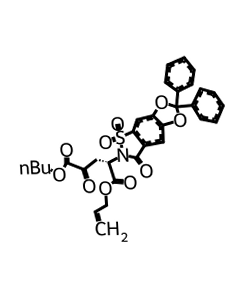 C=CCOC(=O)[C@H](CC(=O)C(=O)OCCCC)N1C(=O)c2cc3c(cc2S1(=O)=O)OC(c1ccccc1)(c1ccccc1)O3